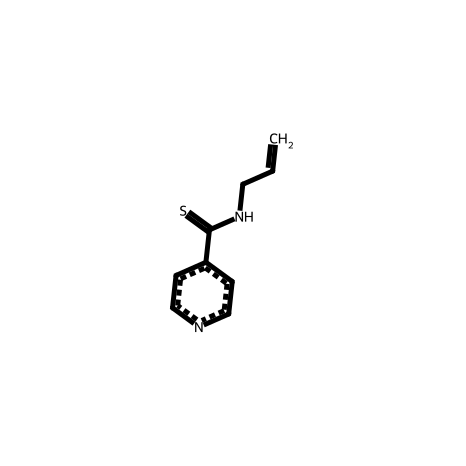 C=CCNC(=S)c1ccncc1